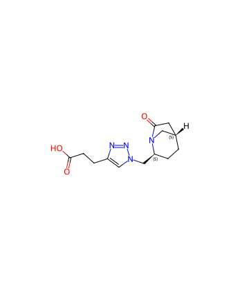 O=C(O)CCc1cn(C[C@@H]2CC[C@H]3CC(=O)N2C3)nn1